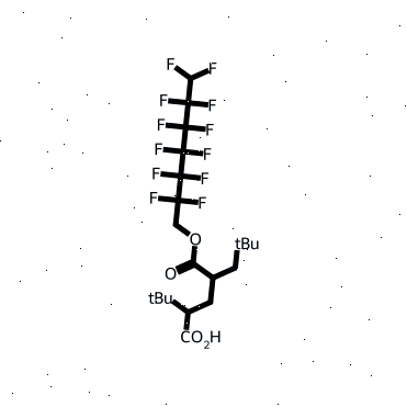 CC(C)(C)CC(CC(C(=O)O)C(C)(C)C)C(=O)OCC(F)(F)C(F)(F)C(F)(F)C(F)(F)C(F)(F)C(F)F